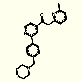 Cc1cccc(CC(=O)c2ccnc(-c3ccc(CN4CCOCC4)cc3)c2)n1